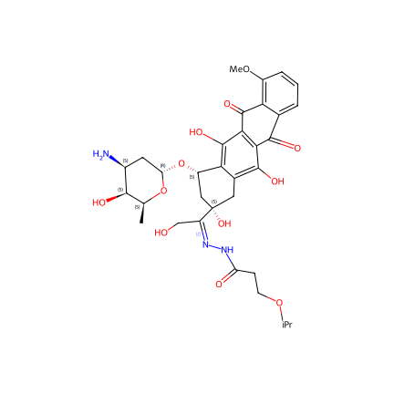 COc1cccc2c1C(=O)c1c(O)c3c(c(O)c1C2=O)C[C@@](O)(/C(CO)=N\NC(=O)CCOC(C)C)C[C@@H]3O[C@H]1C[C@H](N)[C@H](O)[C@H](C)O1